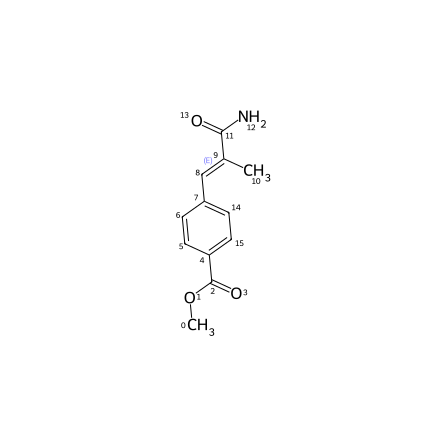 COC(=O)c1ccc(/C=C(\C)C(N)=O)cc1